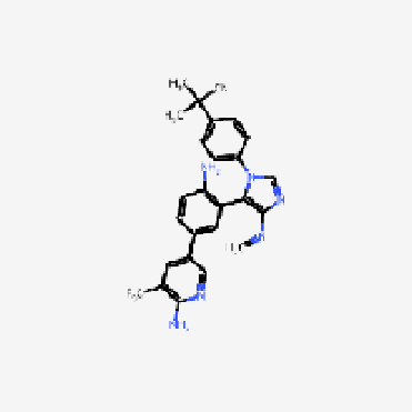 C=Nc1ncn(-c2ccc(C(C)(C)C#N)cc2)c1-c1cc(-c2cnc(N)c(C(F)(F)F)c2)ccc1N